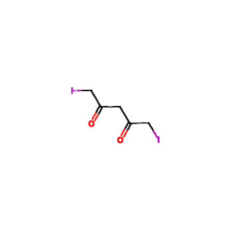 O=C(CI)CC(=O)CI